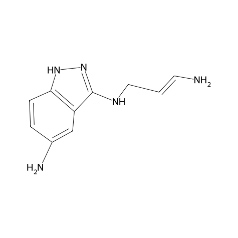 NC=CCNc1n[nH]c2ccc(N)cc12